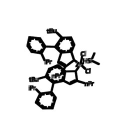 CCCC1=Cc2c(ccc(C(C)(C)C)c2-c2ccccc2C(C)C)[CH]1[Zr]([Cl])([Cl])([CH]1C(CCC)=Cc2c1ccc(C(C)(C)C)c2-c1ccccc1C(C)C)[SiH](C)C